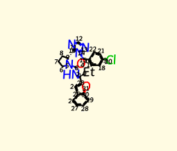 CC[C@H](NC(=O)N1CCC[C@@H]1c1ncnn1Cc1ccc(Cl)cc1)c1cc2ccccc2o1